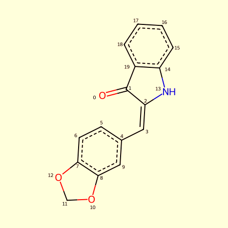 O=C1C(=Cc2ccc3c(c2)OCO3)Nc2ccccc21